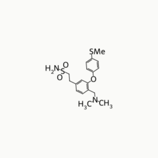 CSc1ccc(Oc2cc(CCS(N)(=O)=O)ccc2CN(C)C)cc1